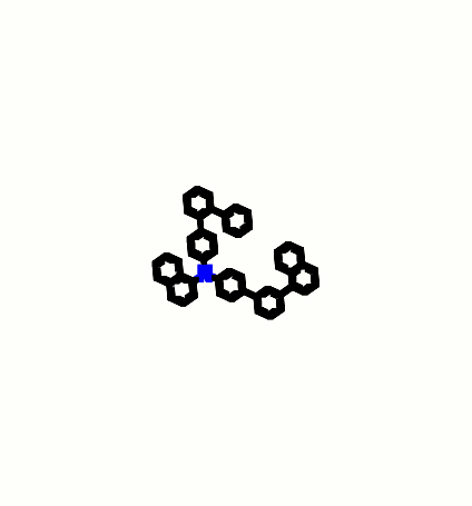 c1ccc(-c2ccccc2-c2ccc(N(c3ccc(-c4cccc(-c5cccc6ccccc56)c4)cc3)c3cccc4ccccc34)cc2)cc1